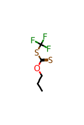 CCCOC(=S)SC(F)(F)F